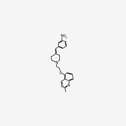 Cc1ncc2c(OCCN3CCC(=Cc4cccc([N+](=O)[O-])c4)CC3)cccc2n1